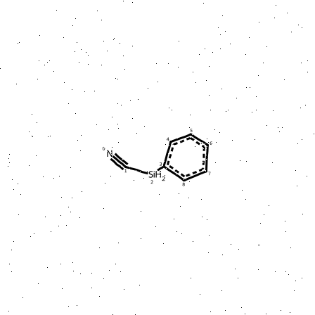 N#C[SiH2]c1ccccc1